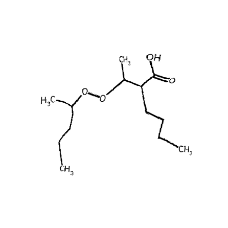 CCCCC(C(=O)O)C(C)OOC(C)CCC